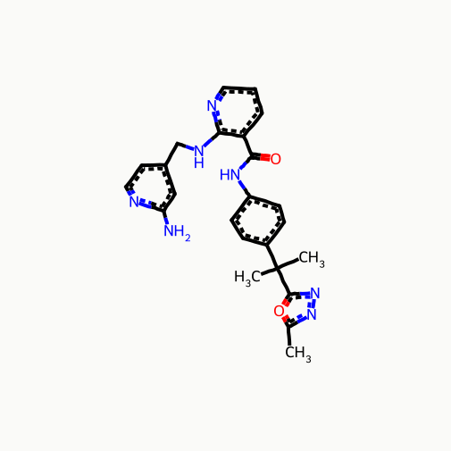 Cc1nnc(C(C)(C)c2ccc(NC(=O)c3cccnc3NCc3ccnc(N)c3)cc2)o1